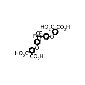 O=C(O)c1ccc(Oc2ccc(C(F)(F)C(F)(c3ccc(Oc4ccc(C(=O)O)c(C(=O)O)c4)cc3)C(F)(F)F)cc2)cc1C(=O)O